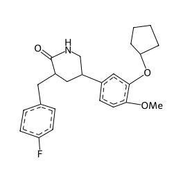 COc1ccc(C2CNC(=O)C(Cc3ccc(F)cc3)C2)cc1OC1CCCC1